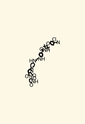 CC1(C)[C@H](NC(=O)c2ccc(NCCNC3CCN(c4ccc5c(n4)C(=O)N(C4CCC(=O)NC4=O)C5=O)CC3)cc2)C(C)(C)[C@H]1Oc1ccc(C#N)c(Cl)c1